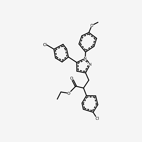 CCOC(=O)C(Cc1cc(-c2ccc(Cl)cc2)n(-c2ccc(OC)cc2)n1)c1ccc(Cl)cc1